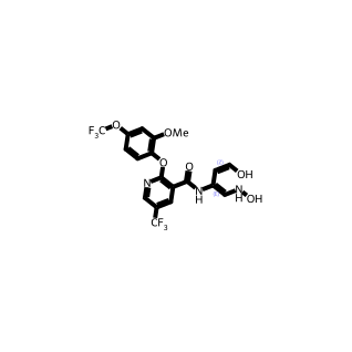 COc1cc(OC(F)(F)F)ccc1Oc1ncc(C(F)(F)F)cc1C(=O)NC(/C=C\O)=C/NO